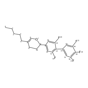 CCCCCC1=COC(c2cc(F)c(-c3cc(F)c(F)c(F)c3)c(F)c2)CC1